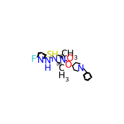 C[C@@H]1CN(C2=[SH]c3ccc(F)nc3N2)C[C@H](C)N1C(=O)OC1CCN(Cc2ccccc2)CC1